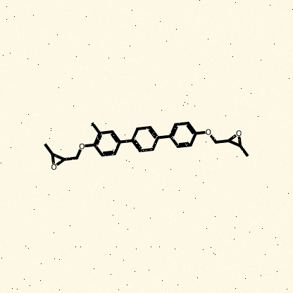 Cc1cc(C2=CCC(c3ccc(OCC4OC4C)cc3)=CC2)ccc1OCC1OC1C